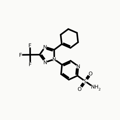 NS(=O)(=O)c1ccc(-n2nc(C(F)(F)F)nc2C2=CCCCC2)cn1